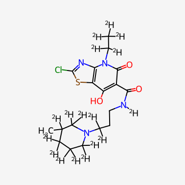 [2H]N(CCC([2H])([2H])N1C([2H])([2H])C([2H])([2H])C([2H])([2H])C([2H])(C)C1([2H])[2H])C(=O)c1c(O)c2sc(Cl)nc2n(C([2H])([2H])C([2H])([2H])[2H])c1=O